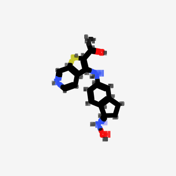 CCCC(=O)c1sc2cnccc2c1Nc1ccc2c(c1)CC/C2=N\O